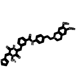 COc1cc2c(cc1OC)CN(CCc1ccc(NC(=O)c3cccc(/C=c4\[nH]c(=O)/c(=C/c5cccs5)n(C)c4=O)c3)cc1)CC2